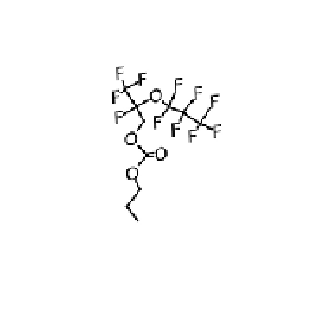 CCCOC(=O)OCC(F)(OC(F)(F)C(F)(F)C(F)(F)F)C(F)(F)F